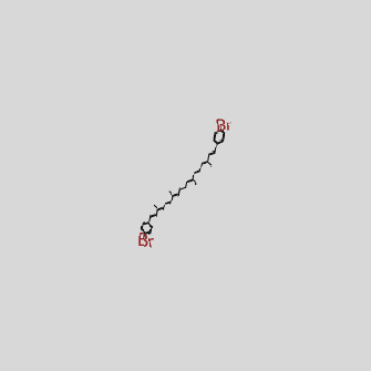 CC(/C=C/c1ccc(Br)cc1)=C\C=C\C(C)=C\CC/C=C(C)/C=C/C=C(C)/C=C/c1ccc(Br)cc1